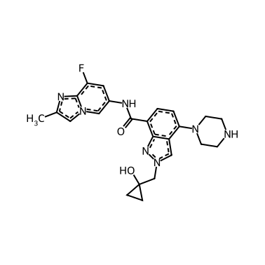 Cc1cn2cc(NC(=O)c3ccc(N4CCNCC4)c4cn(CC5(O)CC5)nc34)cc(F)c2n1